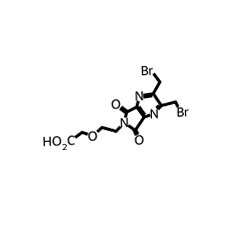 O=C(O)COCCN1C(=O)c2nc(CBr)c(CBr)nc2C1=O